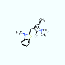 [CH2]CC(C(=CC=C)C=C1Sc2ccccc2N1C)[N+](C)(C)C